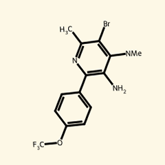 CNc1c(N)c(-c2ccc(OC(F)(F)F)cc2)nc(C)c1Br